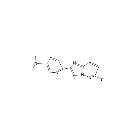 CN(C)c1ccc(-c2cn3nc(Cl)ccc3n2)nc1